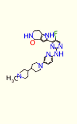 CN1CCC(C2CCN(c3ccc(Nc4ncc(F)c(-c5cc6c([nH]5)CCNC6=O)n4)nc3)CC2)CC1